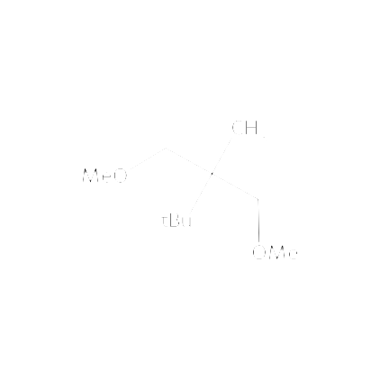 COCC(C)(COC)C(C)(C)C